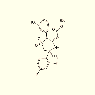 CC(C)(C)OC(=O)/N=C1/N[C@](C)(c2ccc(F)cc2F)CS(=O)(=O)[C@H]1c1cccc(O)c1